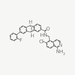 Nc1nccc2c(CNC(=O)c3ccc4c(c3)[C@@H]3O[C@H]4c4ccc(-c5ccccc5F)cc43)c(Cl)ccc12